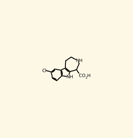 O=C(O)C1CNCCc2c1[nH]c1ccc(Cl)cc21